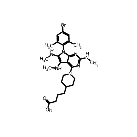 CNc1nc(N2CCC(CCCC(=O)O)CC2)c2c(NC)c(NC)n(-c3c(C)cc(Br)cc3C)c2n1